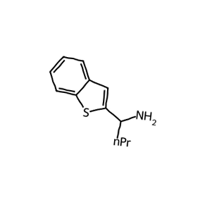 CCCC(N)c1cc2ccccc2s1